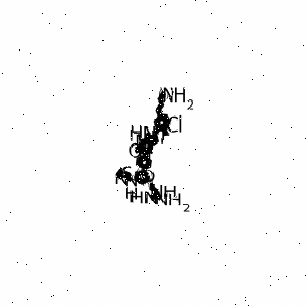 C[C@H](N)CCCc1cc(Cl)c(F)c(-c2cc3cn(-c4ccc([C@@H]5C[C@@H](Nc6nccs6)C[C@@H](CCNC(=N)N)O5)cc4)c(=O)nc3[nH]2)c1